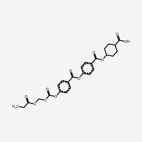 CCC(=O)OCOC(=O)Oc1ccc(C(=O)Oc2ccc(C(=O)OC3CCC(C(=O)O)CC3)cc2)cc1